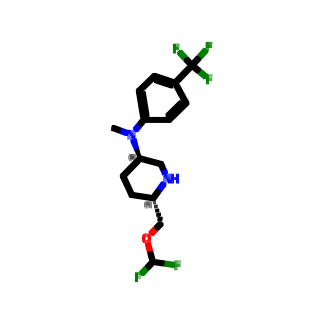 CN(c1ccc(C(F)(F)F)cc1)[C@@H]1CC[C@@H](COC(F)F)NC1